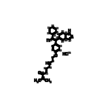 CCC(=C(c1ccc(OCCNCC=CC(=O)N(C)C)cc1)c1ccc2[nH]ncc2c1)c1ccccc1.Cl